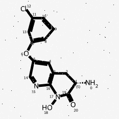 N[C@H]1Cc2cc(Oc3cccc(Cl)c3)cnc2N(O)C1=O